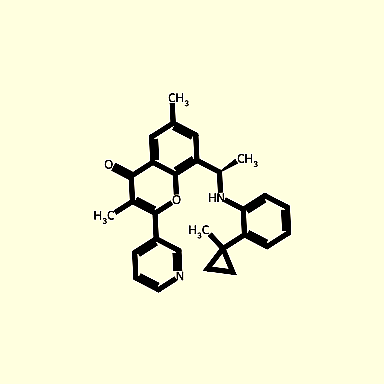 Cc1cc([C@@H](C)Nc2ccccc2C2(C)CC2)c2oc(-c3cccnc3)c(C)c(=O)c2c1